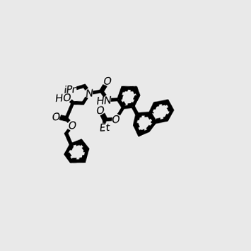 CCC(=O)Oc1c(NC(=O)N(CC(C)C)CC(O)C(=O)OCc2ccccc2)cccc1-c1cccc2ccccc12